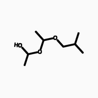 CC(C)COC(C)OC(C)O